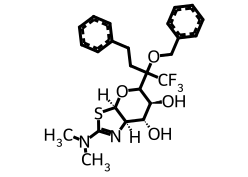 CN(C)C1=N[C@@H]2[C@@H](O)[C@H](O)C(C(CCc3ccccc3)(OCc3ccccc3)C(F)(F)F)O[C@@H]2S1